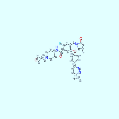 CC1CC(=O)N(Cc2cc(F)c(C(=O)NC3CCN(CC4(C)COC4)CC3)cc2Oc2ccc(-c3ccc(C(C)C)nn3)cc2)C1